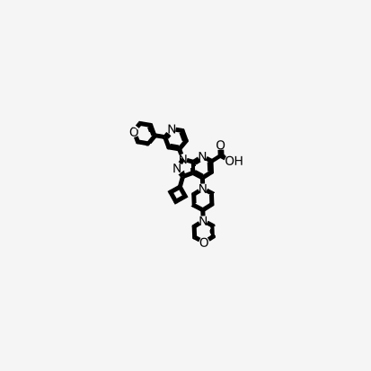 O=C(O)c1cc(N2CCC(N3CCOCC3)CC2)c2c(C3CCC3)nn(-c3ccnc(C4=CCOCC4)c3)c2n1